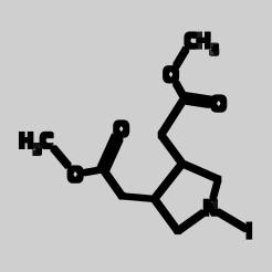 COC(=O)CC1CN(I)CC1CC(=O)OC